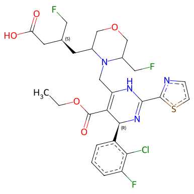 CCOC(=O)C1=C(CN2C(CF)COCC2C[C@H](CF)CC(=O)O)NC(c2nccs2)=N[C@H]1c1cccc(F)c1Cl